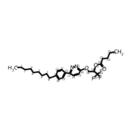 CCCCCCCCCc1ccc(-c2ccc(OCC(OC(=O)CCCC)C(F)(F)F)nn2)cc1